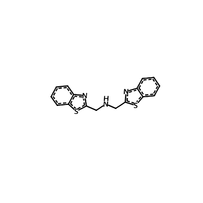 c1ccc2sc(CNCc3nc4ccccc4s3)nc2c1